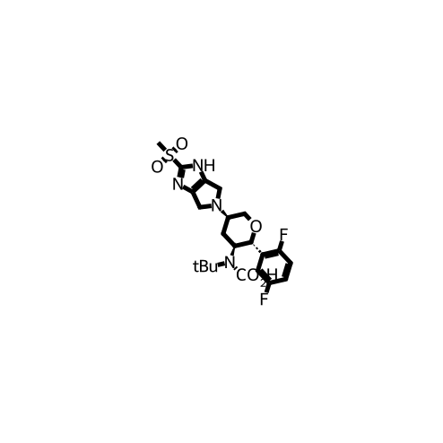 CC(C)(C)N(C(=O)O)[C@H]1C[C@@H](N2Cc3nc(S(C)(=O)=O)[nH]c3C2)CO[C@@H]1c1cc(F)ccc1F